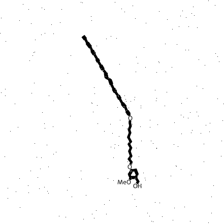 C#CC#CC#CC#CC#CC#CC#CC#CC#CC#CC#COCCCCCCCCCCCCOc1ccc(CO)c(OC)c1